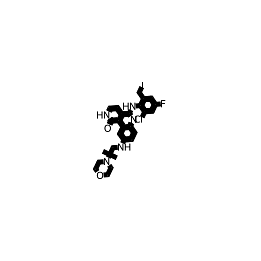 CC(C)(CNc1ccc2nc(Nc3c(Cl)cc(F)cc3CI)c3cc[nH]c(=O)c3c2c1)N1CCOCC1